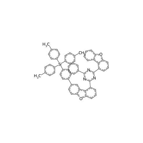 Cc1ccc([Si](c2ccc(C)cc2)(c2ccc(C)cc2)c2ccc(-c3ccc4oc5cccc(-c6nc(-c7ccccc7)nc(-c7cccc8oc9ccccc9c78)n6)c5c4c3)cc2)cc1